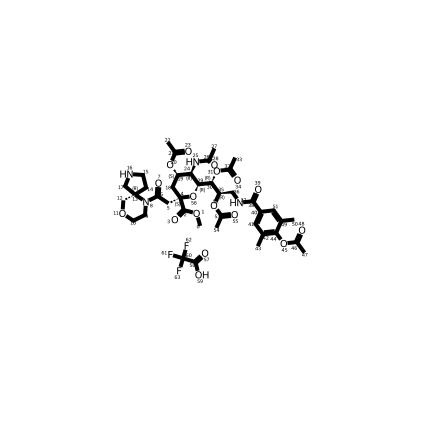 COC(=O)[C@@]1(CC(=O)N2CCOC[C@]23CCNC3)C[C@H](OC(C)=O)[C@@H](NC(C)=O)[C@H]([C@H](OC(C)=O)[C@@H](CNC(=O)c2cc(C)c(OC(C)=O)c(C)c2)OC(C)=O)O1.O=C(O)C(F)(F)F